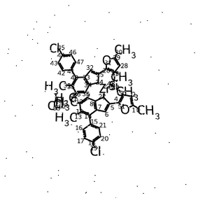 Cc1ccc(C2=Cc3c(cc(C)c(C)c3-c3ccc(Cl)cc3)[CH]2[Zr+2]([CH]2C(c3ccc(C)o3)=Cc3c2cc(C)c(C)c3-c2ccc(Cl)cc2)=[Si](C)C)o1.[Cl-].[Cl-]